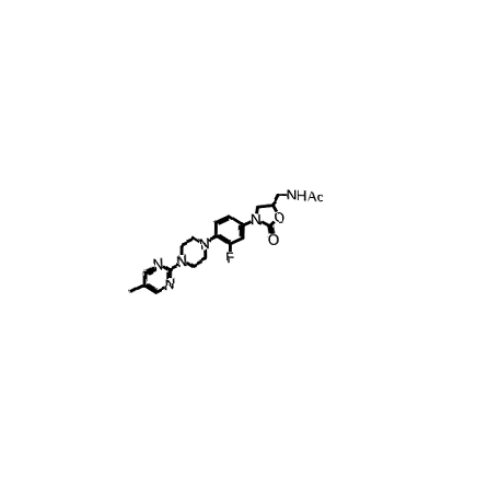 CC(=O)NCC1CN(c2ccc(N3CCN(c4ncc(C)cn4)CC3)c(F)c2)C(=O)O1